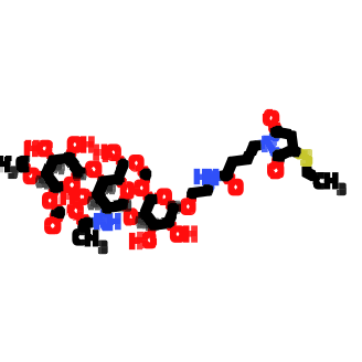 CCSC1CC(=O)N(CCCC(=O)NCCO[C@@H]2OC(OC=O)[C@@H](O[C@H]3OC(CO)[C@@H](O[C@@H]4OC(OC=O)[C@@H](OC)[C@H](O)C4O)[C@H](O)C3NC(C)=O)[C@H](O)C2O)C1=O